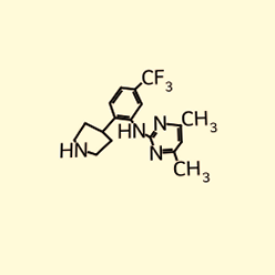 Cc1cc(C)nc(Nc2cc(C(F)(F)F)ccc2C2CCNCC2)n1